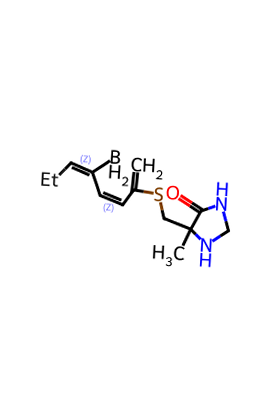 BC(/C=C\C(=C)SCC1(C)NCNC1=O)=C/CC